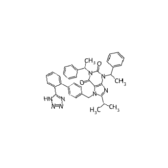 CC(C)c1nc2c(c(=O)n(C(C)c3ccccc3)c(=O)n2C(C)c2ccccc2)n1Cc1ccc(-c2ccccc2-c2nnn[nH]2)cc1